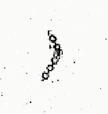 CC1CCC(C2CCC(C3CCC(C(F)(F)Oc4ccc(-c5ccc(F)cc5)c(F)c4)CC3)CC2)CC1